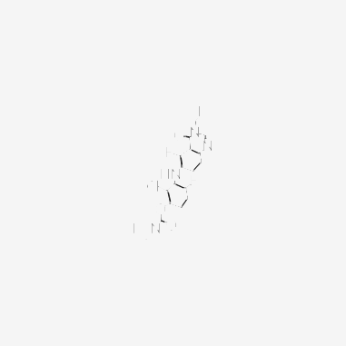 NC(=O)Oc1ccc(F)c(Nc2ccc3ncn(CF)c(=O)c3c2F)c1Cl